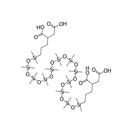 C[Si](C)(CCCC(CC(=O)O)C(=O)O)O[Si](C)(C)O[Si](C)(C)O[Si](C)(C)O[Si](C)(C)O[Si](C)(C)O[Si](C)(C)O[Si](C)(C)O[Si](C)(C)O[Si](C)(C)O[Si](C)(C)O[Si](C)(C)CCCC(CC(=O)O)C(=O)O